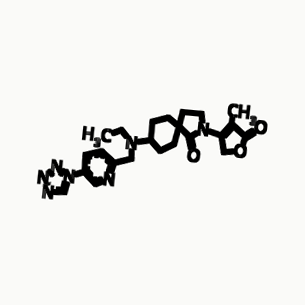 CCN(Cc1ccc(-n2cnnn2)cn1)C1CCC2(CC1)CCN(C1=C(C)C(=O)OC1)C2=O